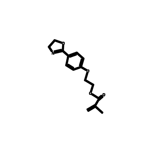 C=C(C)C(=O)OCCOc1ccc(C2=NCCO2)cc1